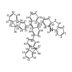 CN1c2ccccc2CCc2ccc(-c3c4ccccc4c(-c4ccc5c(c4)-c4ccccc4C5(C)C)c4cc(-c5ccc6c(c5)C(C)(C)c5ccccc5-6)ccc34)cc21